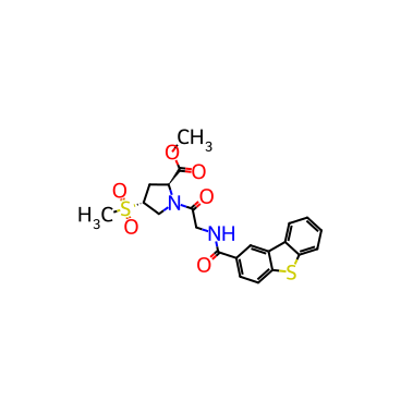 COC(=O)[C@@H]1C[C@@H](S(C)(=O)=O)CN1C(=O)CNC(=O)c1ccc2sc3ccccc3c2c1